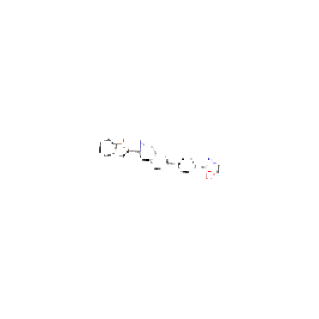 c1ccc2sc(-c3cc4ccc(-c5ccc(-c6ncco6)cc5)cc4cn3)cc2c1